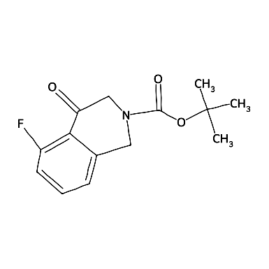 CC(C)(C)OC(=O)N1CC(=O)c2c(F)cccc2C1